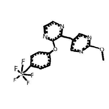 COc1ncc(-c2nccnc2Oc2ccc(S(F)(F)(F)(F)F)cc2)cn1